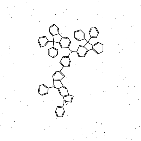 c1ccc(-n2ccc3cc4c5cc(-c6ccc(N(c7ccc8c(c7)C(c7ccccc7)(c7ccccc7)c7ccccc7-8)c7ccc8c(c7)C(c7ccccc7)(c7ccccc7)c7ccccc7-8)cc6)ccc5n(-c5ccccc5)c4cc32)cc1